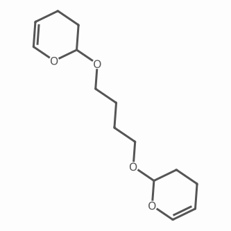 C1=COC(OCCCCOC2CCC=CO2)CC1